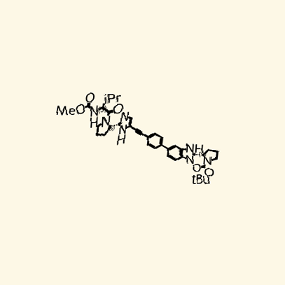 COC(=O)N[C@H](C(=O)N1CCC[C@H]1c1ncc(C#Cc2ccc(-c3ccc4nc([C@@H]5CCCN5C(=O)OC(C)(C)C)[nH]c4c3)cc2)[nH]1)C(C)C